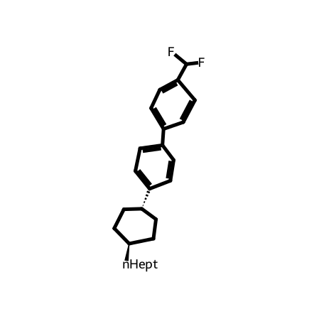 CCCCCCC[C@H]1CC[C@H](c2ccc(-c3ccc(C(F)F)cc3)cc2)CC1